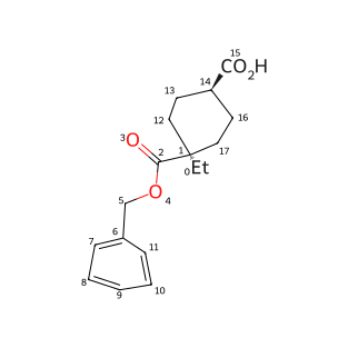 CC[C@]1(C(=O)OCc2ccccc2)CC[C@@H](C(=O)O)CC1